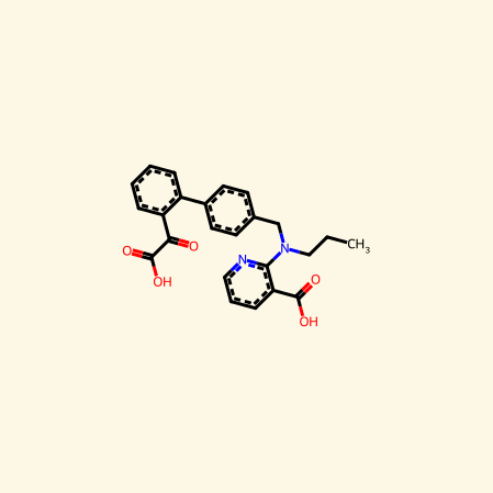 CCCN(Cc1ccc(-c2ccccc2C(=O)C(=O)O)cc1)c1ncccc1C(=O)O